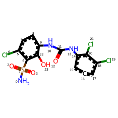 NS(=O)(=O)c1c(Cl)ccc(NC(=O)Nc2cccc(Cl)c2Cl)c1O